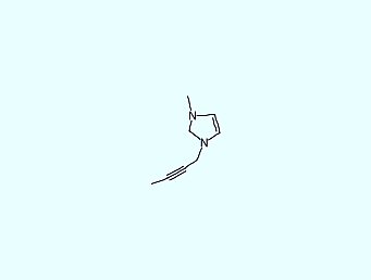 CC#CCN1C=CN(C)C1